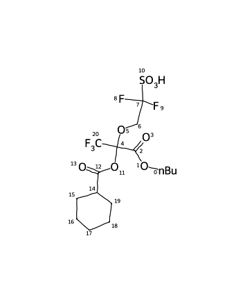 CCCCOC(=O)C(OCC(F)(F)S(=O)(=O)O)(OC(=O)C1CCCCC1)C(F)(F)F